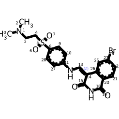 CN(C)CCS(=O)(=O)c1ccc(N/C=C2\C(=O)NC(=O)c3ccc(Br)cc32)cc1